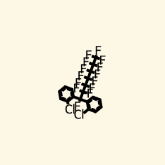 FC(F)(F)C(F)(F)C(F)(F)C(F)(F)C(F)(F)C(F)(F)C(F)(c1ccccc1Cl)c1ccccc1Cl